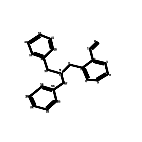 C=Cc1ccccc1CN(Cc1ccccc1)Cc1ccccc1